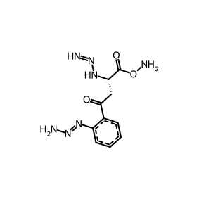 N=NN[C@@H](CC(=O)c1ccccc1N=NN)C(=O)ON